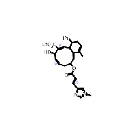 CCOC(=O)/C1=C/C2C(CC(OC(=O)/C=C/c3cn(C)cn3)C/C=C\C1O)C(C)=CCC2C(C)C